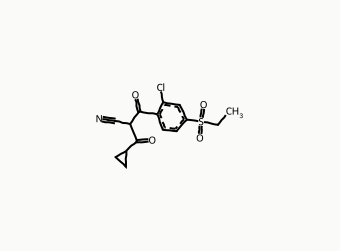 CCS(=O)(=O)c1ccc(C(=O)C(C#N)C(=O)C2CC2)c(Cl)c1